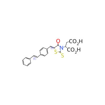 O=C(O)CC(C(=O)O)N1C(=O)/C(=C/c2ccc(/C=C/c3ccccc3)cc2)SC1=S